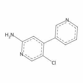 Nc1cc(-c2cccnc2)c(Cl)cn1